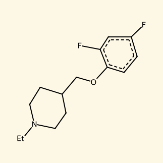 CCN1CCC(COc2ccc(F)cc2F)CC1